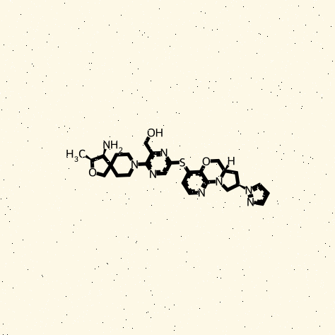 C[C@@H]1OCC2(CCN(c3ncc(Sc4ccnc5c4OC[C@@H]4C[C@@H](n6cccn6)CN54)nc3CO)CC2)[C@@H]1N